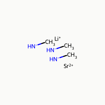 C[NH-].C[NH-].C[NH-].[Li+].[Sr+2]